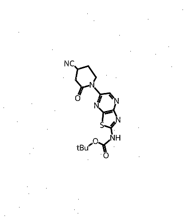 CC(C)(C)OC(=O)Nc1nc2ncc(N3CCC(C#N)CC3=O)nc2s1